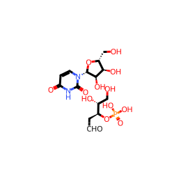 O=CC[C@H](OP(=O)(O)O)[C@H](O)CO.O=c1ccn([C@@H]2O[C@H](CO)[C@@H](O)[C@H]2O)c(=O)[nH]1